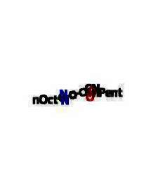 CCCCCCCCc1cnc(-c2ccc(C3CCC(C#N)(C(=O)OCCCCC)CC3)cc2)nc1